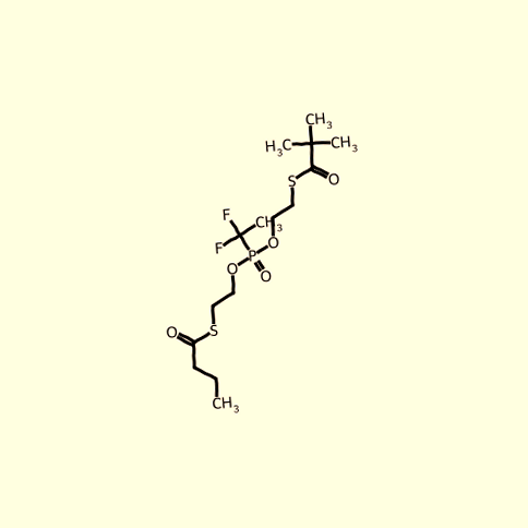 CCCC(=O)SCCOP(=O)(OCCSC(=O)C(C)(C)C)C(C)(F)F